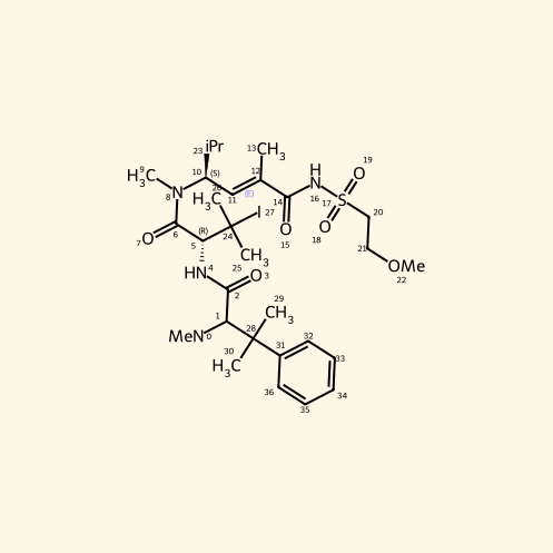 CNC(C(=O)N[C@H](C(=O)N(C)[C@H](/C=C(\C)C(=O)NS(=O)(=O)CCOC)C(C)C)C(C)(C)I)C(C)(C)c1ccccc1